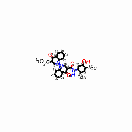 CC(C)(C)c1cc(C(C)(C)C)c(NC(=O)c2cn(-n3cc(C(=O)O)c(=O)c4ccccc43)c3ccccc3c2=O)cc1O